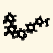 CN(C)[C@H]1CCN(c2ccc([C@H]3CN(c4nc(-c5ccncc5F)cc(=O)n4C)CCO3)cc2)C1